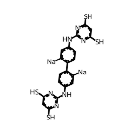 [Na][c]1cc(Nc2nc(S)cc(S)n2)ccc1-c1ccc(Nc2nc(S)cc(S)n2)c[c]1[Na]